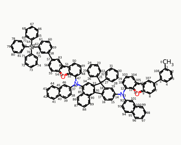 Cc1cccc(-c2ccc3oc4c(N(c5ccc6c(c5)C(c5ccccc5)(c5ccccc5)c5cc(N(c7ccc8ccccc8c7)c7cccc8c7oc7ccc(-c9cccc([Si](c%10ccccc%10)(c%10ccccc%10)c%10ccccc%10)c9)cc78)c7ccccc7c5-6)c5ccc6ccccc6c5)cccc4c3c2)c1